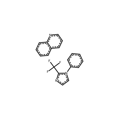 FC(F)(F)c1nccn1-c1ccccc1.c1ccc2ncccc2c1